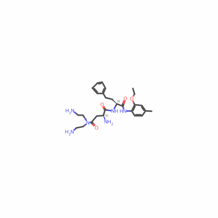 CCOc1cc(C)ccc1NC(=O)[C@H](CCc1ccccc1)NC(=O)[C@@H](N)CC(=O)N(CCN)CCN